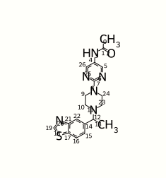 CC(=O)Nc1cnc(N2CCN(C(C)c3ccc4scnc4c3)CC2)nc1